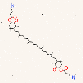 CC1=C(/C=C/C(C)=C/C=C/C(C)=C/C=C/C=C(C)/C=C/C=C(C)/C=C/C2=C(C)C(=O)C(OC(=O)CCCN(C)C)CC2(C)C)C(C)(C)CC(OC(=O)CCCN(C)C)C1=O